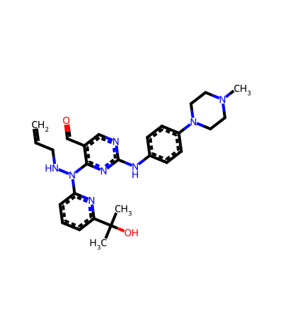 C=CCNN(c1cccc(C(C)(C)O)n1)c1nc(Nc2ccc(N3CCN(C)CC3)cc2)ncc1C=O